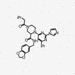 CC(C)CC(=O)N1CCN(c2cc(C(C)C)nc(-n3ccnc3)n2)C(C(=O)NCc2ccc3c(c2)OCO3)C1